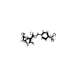 CC1=C(C(=O)OCc2ccc([N+](=O)[O-])cc2)N2C(=O)CC2S1